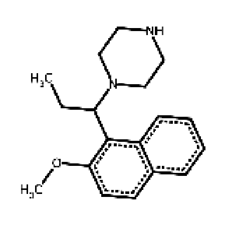 CCC(c1c(OC)ccc2ccccc12)N1CCNCC1